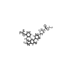 CCOC(=O)C1C2C=C(c3ncc(-c4cc5c(cc4F)nc(C)n5Cc4ccccc4OC(F)F)cn3)CC21